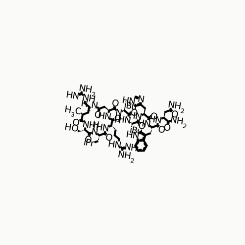 CC[C@H](C)[C@H](NC(=O)[C@H](CC(N)=O)NC(=O)[C@H](CCCNC(=N)N)NC(=O)[C@H](CC(C)C)NC(=O)[C@H](CO)NC(=O)[C@@H](C)CCCNC(=N)N)C(=O)N[C@H](C(=O)N[C@@H](Cc1c[nH]cn1)C(=O)N[C@@H](Cc1c[nH]c2ccccc12)C(=O)N[C@@H](CC(N)=O)C(N)=O)[C@@H](C)CC